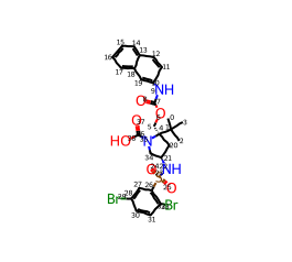 CC(C)(C)[C@@]1(COC(=O)Nc2ccc3ccccc3c2)C[C@@H](NS(=O)(=O)c2cc(Br)ccc2Br)CN1C(=O)O